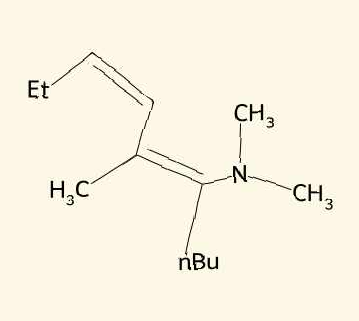 CC/C=C\C(C)=C(\CCCC)N(C)C